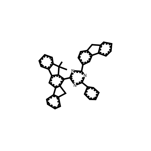 CC1(C)c2ccccc2-c2cc3c(c(-c4nc(-c5ccccc5)nc(-c5ccc6c(c5)-c5ccccc5C6)n4)c21)Cc1ccccc1-3